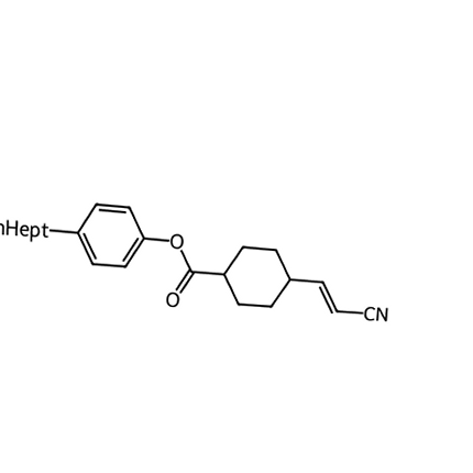 CCCCCCCc1ccc(OC(=O)C2CCC(/C=C/C#N)CC2)cc1